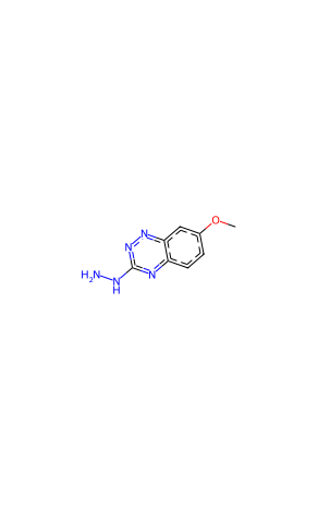 COc1ccc2nc(NN)nnc2c1